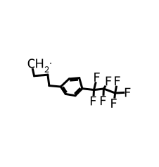 [CH2]CCCc1ccc(C(F)(F)C(F)(F)C(F)(F)F)cc1